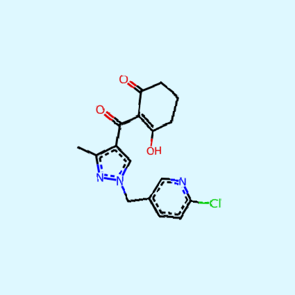 Cc1nn(Cc2ccc(Cl)nc2)cc1C(=O)C1=C(O)CCCC1=O